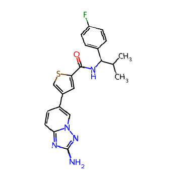 CC(C)C(NC(=O)c1cc(-c2ccc3nc(N)nn3c2)cs1)c1ccc(F)cc1